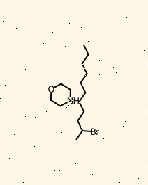 C1COCCN1.CCCCCCCCCC(C)Br